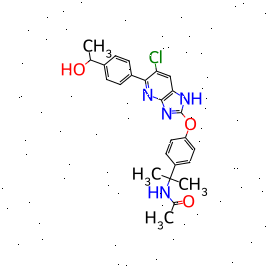 CC(=O)NC(C)(C)c1ccc(Oc2nc3nc(-c4ccc(C(C)O)cc4)c(Cl)cc3[nH]2)cc1